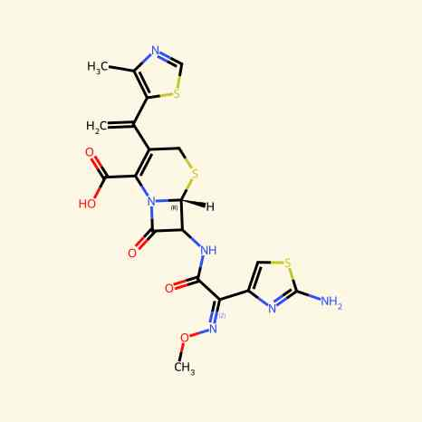 C=C(C1=C(C(=O)O)N2C(=O)C(NC(=O)/C(=N\OC)c3csc(N)n3)[C@H]2SC1)c1scnc1C